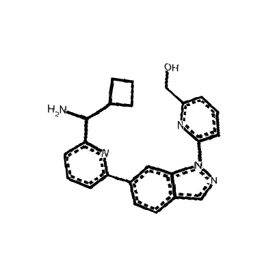 NC(c1cccc(-c2ccc3cnn(-c4cccc(CO)n4)c3c2)n1)C1CCC1